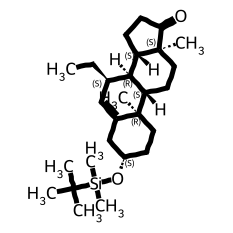 CC[C@@H]1C=C2C[C@@H](O[Si](C)(C)C(C)(C)C)CC[C@]2(C)[C@H]2CC[C@]3(C)C(=O)CC[C@H]3[C@H]12